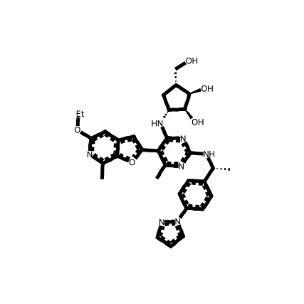 CCOc1cc2cc(-c3c(C)nc(N[C@H](C)c4ccc(-n5cccn5)cc4)nc3N[C@@H]3C[C@H](CO)[C@@H](O)[C@H]3O)oc2c(C)n1